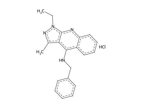 CCn1nc(C)c2c(NCc3ccccc3)c3ccccc3nc21.Cl